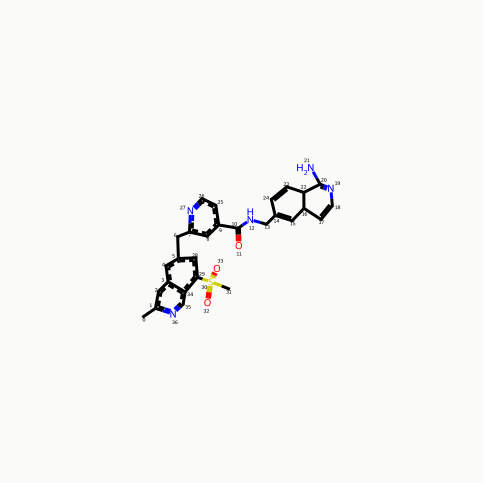 Cc1cc2cc(Cc3cc(C(=O)NCC4=CC5C=CN=C(N)C5C=C4)ccn3)cc(S(C)(=O)=O)c2cn1